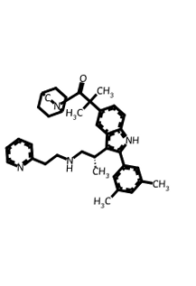 Cc1cc(C)cc(-c2[nH]c3ccc(C(C)(C)C(=O)N4CC5CCC4CC5)cc3c2[C@H](C)CNCCc2ccccn2)c1